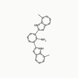 Cc1cccc2cc(-c3cccc(-c4cc5cccc(C)c5[nH]4)c3N)[nH]c12